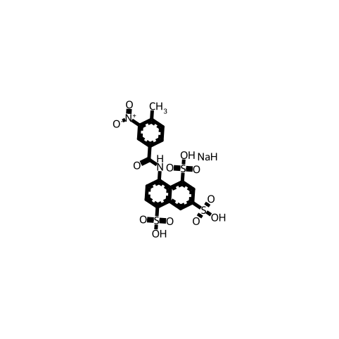 Cc1ccc(C(=O)Nc2ccc(S(=O)(=O)O)c3cc(S(=O)(=O)O)cc(S(=O)(=O)O)c23)cc1[N+](=O)[O-].[NaH]